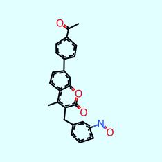 CC(=O)c1ccc(-c2ccc3c(C)c(Cc4cccc(N=O)c4)c(=O)oc3c2)cc1